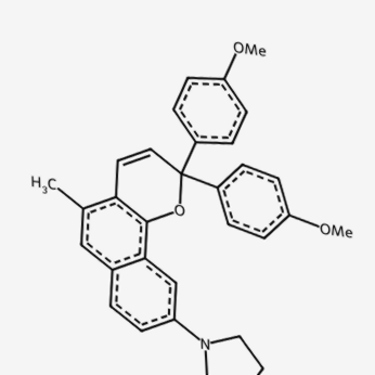 COc1ccc(C2(c3ccc(OC)cc3)C=Cc3c(C)cc4ccc(N5CCCC5)cc4c3O2)cc1